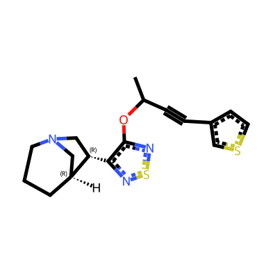 CC(C#Cc1ccsc1)Oc1nsnc1[C@H]1CN2CCC[C@H]1C2